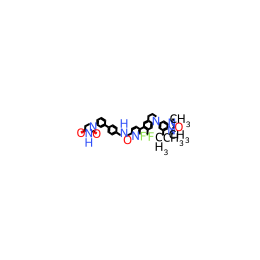 CC(C)c1cc(N2CCCc3cc(-c4ccc(C(=O)NCc5ccc(-c6cccc(N7CCC(=O)NC7=O)c6)cc5)nc4)c(C(F)F)cc32)cc2c1n(C)c(=O)n2C